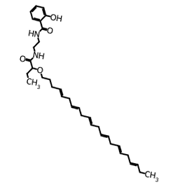 CCC=CCC=CCC=CCC=CCC=CCC=CCCCOC(CC)C(=O)NCCNC(=O)c1ccccc1O